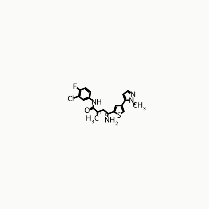 C[C@H](C[C@H](N)c1cc(-c2ccnn2C)cs1)C(=O)Nc1ccc(F)c(Cl)c1